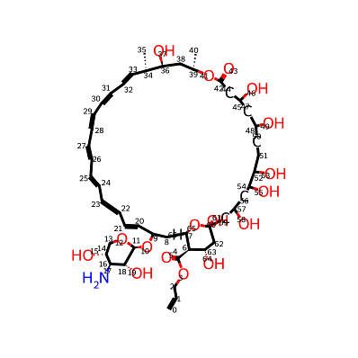 C=CCOC(=O)[C@H]1[C@@H]2CC(O[C@@H]3OC[C@@H](O)[C@H](N)[C@H]3O)/C=C/C=C/C=C/C=C/C=C/C=C/C=C/[C@H](C)[C@@H](O)C[C@H](C)OC(=O)CC(O)CC(O)CCC(O)C(O)CC(O)CC(O)(C[C@@H]1O)O2